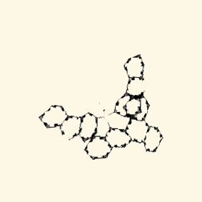 O=P(c1ccc2sc3ccccc3c2c1)(c1ccc2sc3ccccc3c2c1)c1c2ccccc2cc2c3ccccc3c3ccccc3c12